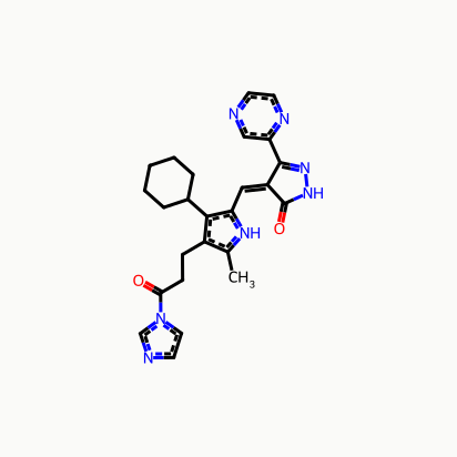 Cc1[nH]c(C=C2C(=O)NN=C2c2cnccn2)c(C2CCCCC2)c1CCC(=O)n1ccnc1